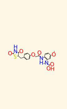 COc1ccc(NC(=O)COc2ccc(CC3SC(=O)NC3=O)cc2)c(N(C)C(=O)O)c1